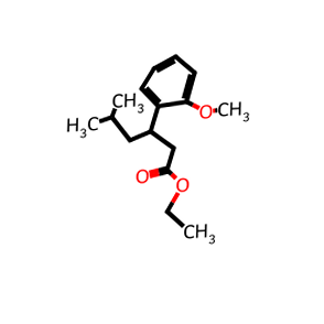 CCOC(=O)CC(CC(C)C)c1ccccc1OC